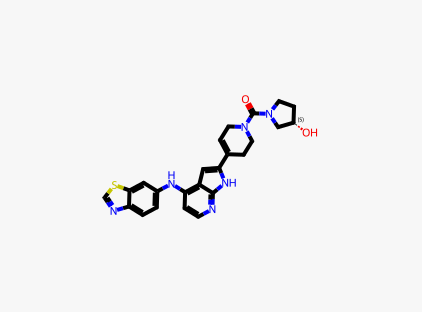 O=C(N1CC=C(c2cc3c(Nc4ccc5ncsc5c4)ccnc3[nH]2)CC1)N1CC[C@H](O)C1